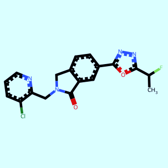 CC(F)c1nnc(-c2ccc3c(c2)C(=O)N(Cc2ncccc2Cl)C3)o1